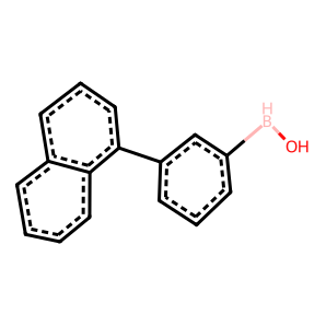 OBc1cccc(-c2cccc3ccccc23)c1